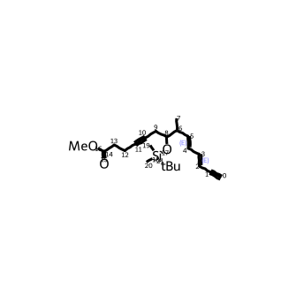 C#C/C=C/C=C/C(C)C(CC#CCCC(=O)OC)O[Si](C)(C)C(C)(C)C